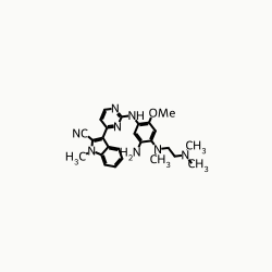 COc1cc(N(C)CCN(C)C)c(N)cc1Nc1nccc(-c2c(C#N)n(C)c3ccccc23)n1